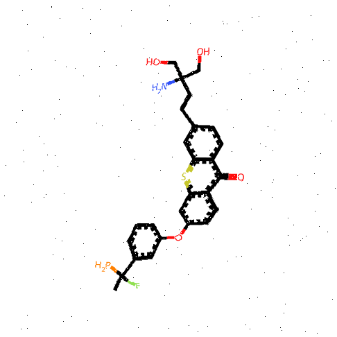 CC(F)(P)c1cccc(Oc2ccc3c(=O)c4ccc(CCC(N)(CO)CO)cc4sc3c2)c1